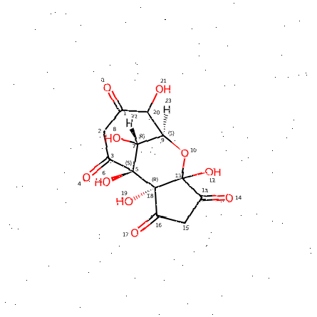 O=C1CC(=O)[C@]2(O)[C@H](O)[C@H](OC3(O)C(=O)CC(=O)[C@]32O)C1O